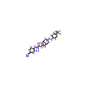 C[Si](C)(C)c1ccc(CCN2CC3CN(CC(=O)NCc4ccc(C#N)cc4)CC(C2)O3)cc1